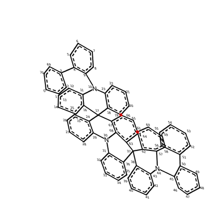 c1ccc(-c2ccccc2N2c3ccccc3C3(c4ccccc42)c2ccccc2N2c4ccccc4C4(c5ccccc5N(c5ccccc5-c5ccccc5)c5ccccc54)c4cccc3c42)cc1